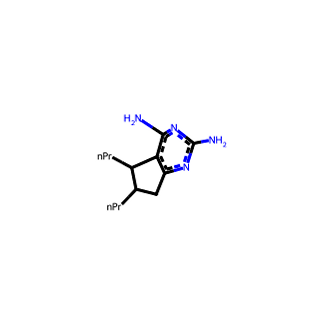 CCCC1Cc2nc(N)nc(N)c2C1CCC